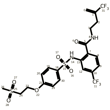 C=C(CCNC(=O)c1ccc(C(F)(F)F)cc1NS(=O)(=O)c1ccc(OCCS(C)(=O)=O)cc1)C(F)(F)F